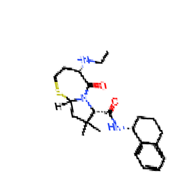 CCN[C@H]1CCS[C@H]2CC(C)(C)[C@@H](C(=O)N[C@@H]3CCCc4ccccc43)N2C1=O